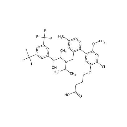 COc1cc(Cl)c(OCCCC(=O)O)cc1-c1ccc(C)cc1CN(C(C)C)[C@@H](C)[C@H](O)c1cc(C(F)(F)F)cc(C(F)(F)F)c1